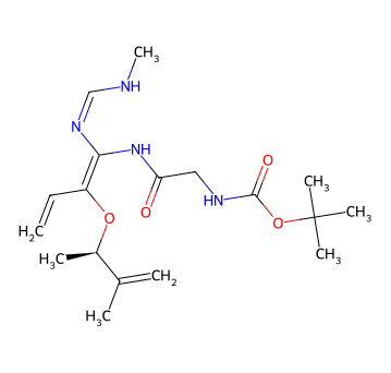 C=C/C(O[C@H](C)C(=C)C)=C(\N=C/NC)NC(=O)CNC(=O)OC(C)(C)C